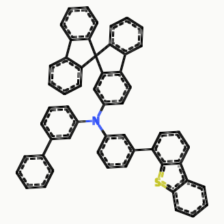 c1ccc(-c2cccc(N(c3cccc(-c4cccc5c4sc4ccccc45)c3)c3ccc4c(c3)C3(c5ccccc5-c5ccccc53)c3ccccc3-4)c2)cc1